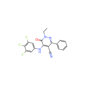 CCn1nc(-c2ccccc2)c(C#N)c(Nc2cc(F)c(F)c(F)c2)c1=O